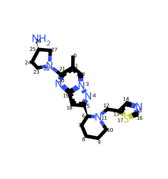 Cc1cn2nc([C@@H]3CCCCN3Cc3cncs3)cc2nc1N1CC[C@H](N)C1